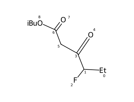 CCC(F)C(=O)CC(=O)OCC(C)C